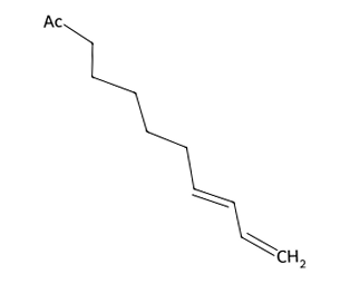 C=CC=CCCCCCC(C)=O